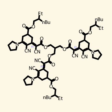 CCCCC(CC)COC(=O)C1CC(N2CCCC2)=C(C#N)/C(=C(\C#N)C(=O)OCC(COC(=O)/C(C#N)=C2\CC(C(=O)OCC(CC)CCCC)CC(N3CCCC3)=C2C#N)COC(=O)/C(C#N)=C2\CC(C(=O)OCC(CC)CCCC)CC(N3CCCC3)=C2C#N)C1